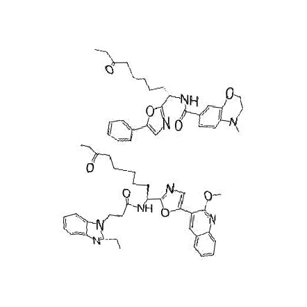 CCC(=O)CCCCC[C@H](NC(=O)CCn1c(CC)nc2ccccc21)c1ncc(-c2cc3ccccc3nc2OC)o1.CCC(=O)CCCCC[C@H](NC(=O)c1ccc2c(c1)OCCN2C)c1ncc(-c2ccccc2)o1